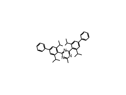 Cc1nc(-c2c(C(C)C)cc(-c3ccccc3)cc2C(C)C)nc(-c2c(C(C)C)cc(-c3ccccc3)cc2C(C)C)n1